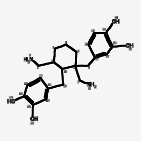 NCC1CCCC(CN)(Cc2ccc(O)c(O)c2)C1Cc1ccc(O)c(O)c1